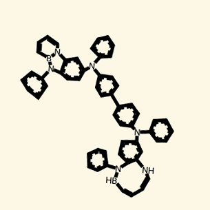 B1/C=C\C=C/Nc2cc(N(c3ccccc3)c3ccc(-c4ccc(N(c5ccccc5)c5ccc6c(c5)N5C=CC=CB5N6c5ccccc5)cc4)cc3)ccc2N1c1ccccc1